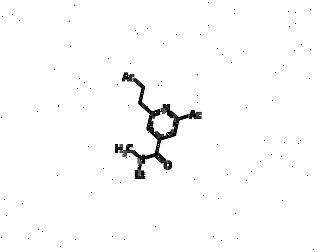 CCN(C)C(=O)c1cc(CCC(C)=O)nc(C(C)=O)c1